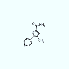 Cc1nc(C(N)=O)sc1-c1ccncc1